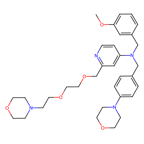 COc1cccc(CN(Cc2ccc(N3CCOCC3)cc2)c2ccnc(COCCOCCN3CCOCC3)c2)c1